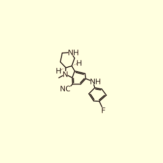 CN1c2c(C#N)cc(Nc3ccc(F)cc3)cc2[C@@H]2CNCC[C@@H]21